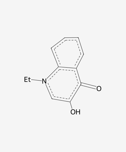 CCn1cc(O)c(=O)c2ccccc21